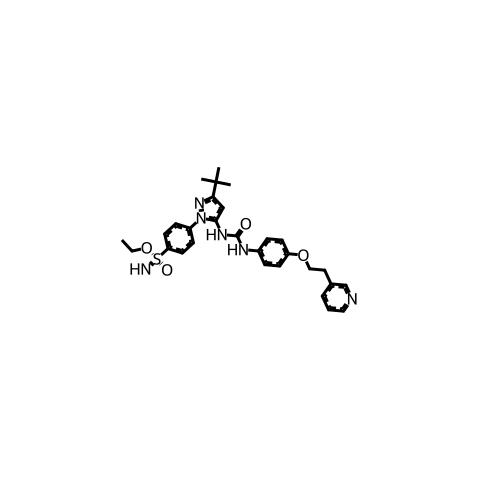 CCOS(=N)(=O)c1ccc(-n2nc(C(C)(C)C)cc2NC(=O)Nc2ccc(OCCc3cccnc3)cc2)cc1